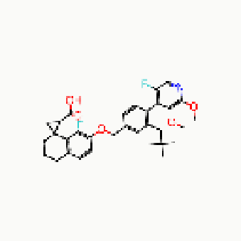 COc1cc(-c2ccc(COc3ccc4c(c3F)[C@]3(CCC4)C[C@H]3C(=O)O)cc2[C@H](OC)C(C)(C)C)c(F)cn1